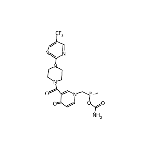 C[C@@H](Cn1ccc(=O)c(C(=O)N2CCN(c3ncc(C(F)(F)F)cn3)CC2)c1)OC(N)=O